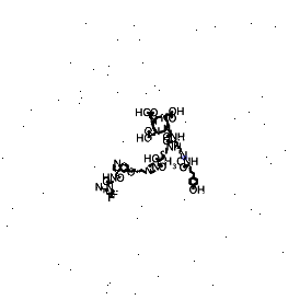 C/C(=N\CCCCC(NC(=O)CN1CCN(CC(=O)O)CCN(CC(=O)O)CCN(CC(=O)O)CC1)C(=O)NCCSCC(O)C(=O)N1CCN(CCCCOc2ccc3nccc(C(=O)NCC(=O)N4CC(F)(F)C[C@@H]4C#N)c3c2)CC1)NC(=O)CCCc1ccc(O)cc1